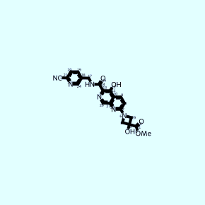 COC(=O)C1(O)CN(c2ccc3c(O)c(C(=O)NCc4ccc(C#N)nc4)ncc3n2)C1